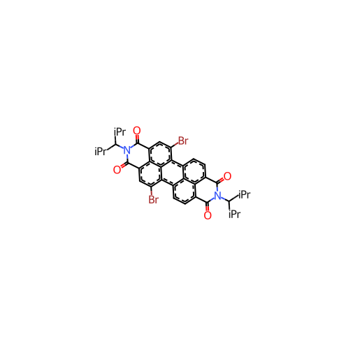 CC(C)C(C(C)C)N1C(=O)c2ccc3c4c(Br)cc5c6c(cc(Br)c(c7ccc(c2c37)C1=O)c64)C(=O)N(C(C(C)C)C(C)C)C5=O